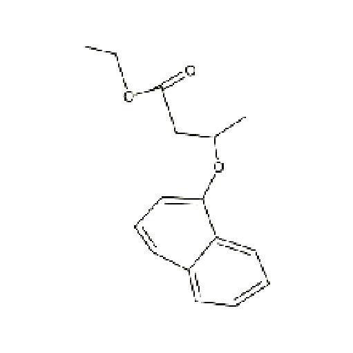 [CH2]C(CC(=O)OCC)Oc1cccc2ccccc12